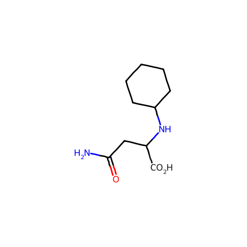 NC(=O)CC(NC1CCCCC1)C(=O)O